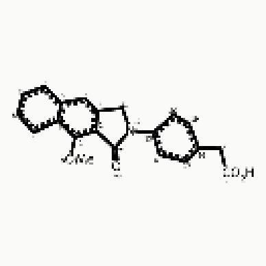 COc1c2c(cc3ccccc13)CN(c1ccc(CC(=O)O)cc1)C2=O